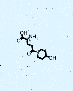 N[C@@H](CCC(=O)N1CCC(O)CC1)C(=O)O